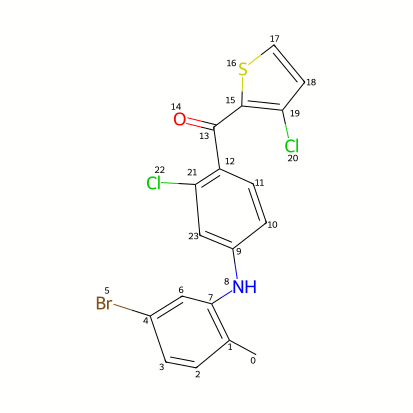 Cc1ccc(Br)cc1Nc1ccc(C(=O)c2sccc2Cl)c(Cl)c1